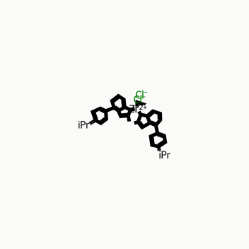 CC1=Cc2c(-c3ccc(C(C)C)cc3)cccc2[CH]1[Zr+2]1([CH]2C(C)=Cc3c(-c4ccc(C(C)C)cc4)cccc32)[CH2][CH2]1.[Cl-].[Cl-]